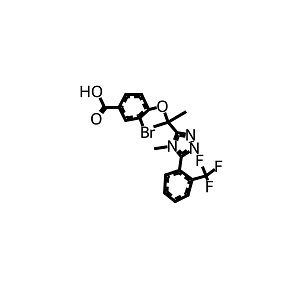 Cn1c(-c2ccccc2C(F)(F)F)nnc1C(C)(C)Oc1ccc(C(=O)O)cc1Br